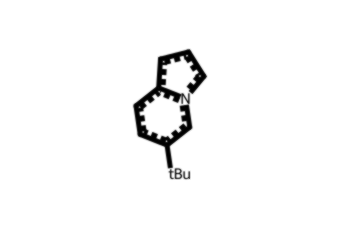 CC(C)(C)c1ccc2cccn2c1